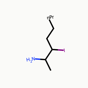 CCCCCC(I)C(C)N